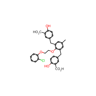 Cc1cc(Cc2ccc(O)c(C(=O)O)c2)c(OCCOc2ccccc2Cl)c(Cc2ccc(O)c(C(=O)O)c2)c1